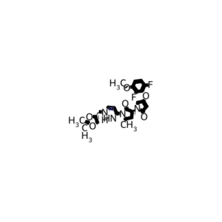 COc1ccc(F)c(OC2=CC(=O)N([C@H]3CC(C)N(C(=N)/C=C\NC[C@@H]4COC(C)(C)O4)C3=O)C2)c1F